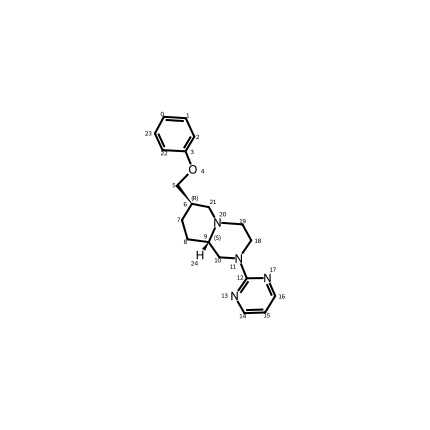 c1ccc(OC[C@@H]2CC[C@H]3CN(c4ncccn4)CCN3C2)cc1